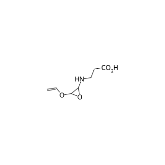 C=COC1OC1NCCC(=O)O